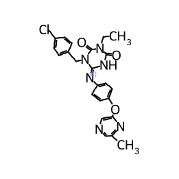 CCn1c(=O)[nH]/c(=N\c2ccc(Oc3cncc(C)n3)cc2)n(Cc2ccc(Cl)cc2)c1=O